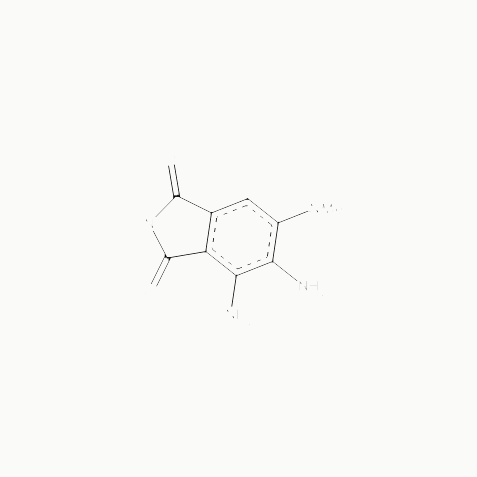 CNc1cc2c(c(N)c1N)C(=O)NC2=O